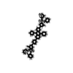 Cc1cc(-c2ccc3c(-c4ccccc4)c4cc(-c5ccc(-c6cc(C)c7c(c6)nc(-c6ccccc6)n7-c6ccccn6)cc5)ccc4c(-c4ccccc4)c3c2)cc2nc(-c3cccnc3)n(-c3ccccc3)c12